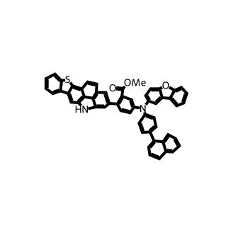 COC(=O)c1cc(N(c2ccc(-c3cccc4ccccc34)cc2)c2ccc3oc4ccccc4c3c2)ccc1-c1cc2ccc3c4sc5ccccc5c4cc4[nH]c(c1)c2c43